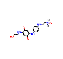 CC[N+]([O-])(CC)CCNc1ccc(NC2=CC(=O)C(NCCO)=CC2=O)cc1